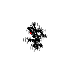 CCCC[C@H](NC(=O)[C@H]1CCCN1C(=O)CNC(=O)[C@@H](CCCCN)NC(=O)[C@H]1CSSC[C@H](NC(=O)[C@@H]2CCCN2C(=O)[C@H](CCCNC(=N)N)NC(=O)[C@H](CCC(N)=O)NC(=O)[C@H](Cc2cnc[nH]2)NC(=O)[C@H](C)N)C(=O)N[C@@H](CC(C)C)C(=O)N[C@H](CO)C(=O)N1)C(=O)NCCc1ccccc1